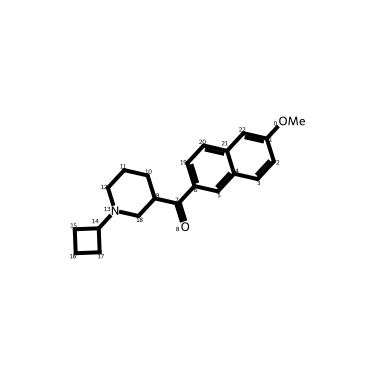 COc1ccc2cc(C(=O)C3CCCN(C4CCC4)C3)ccc2c1